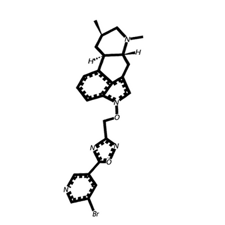 C[C@@H]1C[C@@H]2c3cccc4c3c(cn4OCc3noc(-c4cncc(Br)c4)n3)C[C@H]2N(C)C1